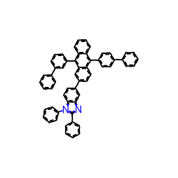 c1ccc(-c2ccc(-c3c4ccccc4c(-c4cccc(-c5ccccc5)c4)c4cc(-c5ccc6c(c5)nc(-c5ccccc5)n6-c5ccccc5)ccc34)cc2)cc1